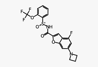 O=C(N[S+]([O-])c1ccccc1OC(F)(F)F)c1cc2c(F)cc(N3CCC3)cc2o1